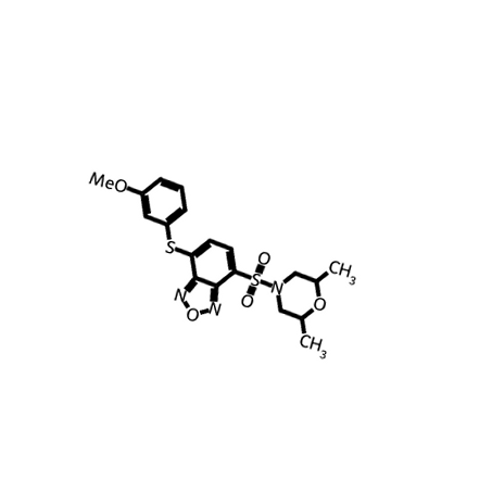 COc1cccc(Sc2ccc(S(=O)(=O)N3CC(C)OC(C)C3)c3nonc23)c1